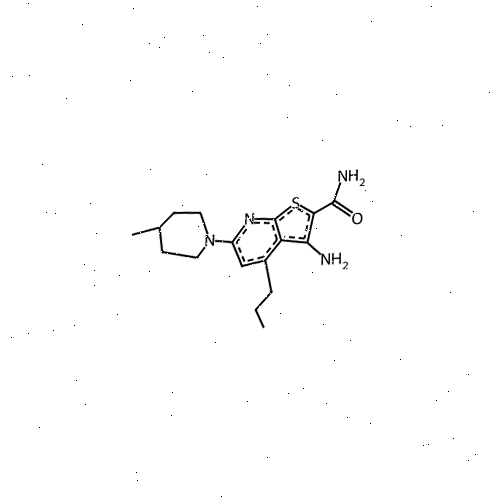 CCCc1cc(N2CCC(C)CC2)nc2sc(C(N)=O)c(N)c12